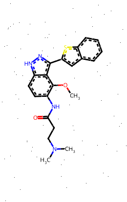 COc1c(NC(=O)CCN(C)C)ccc2[nH]nc(-c3cc4ccccc4s3)c12